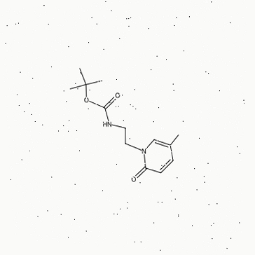 Cc1ccc(=O)n(CCNC(=O)OC(C)(C)C)c1